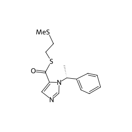 CSCCSC(=O)c1cncn1[C@H](C)c1ccccc1